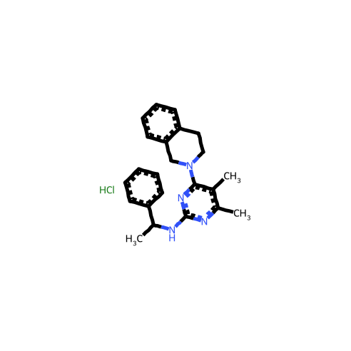 Cc1nc(NC(C)c2ccccc2)nc(N2CCc3ccccc3C2)c1C.Cl